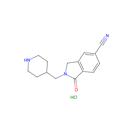 Cl.N#Cc1ccc2c(c1)CN(CC1CCNCC1)C2=O